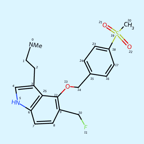 CNCCc1c[nH]c2ccc(CF)c(OCc3ccc(S(C)(=O)=O)cc3)c12